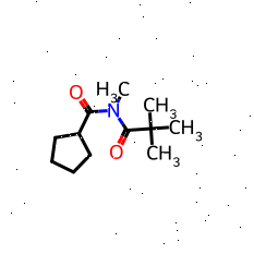 CN(C(=O)C1CCCC1)C(=O)C(C)(C)C